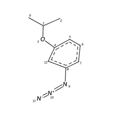 CC(C)Oc1cccc(N=[N+]=[N-])c1